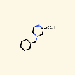 O=C(O)C1CN(CC2CCCCC2)CC[N]1